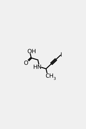 CC(C#CI)NCC(=O)O